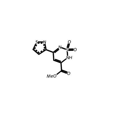 COC(=O)C1=CC(c2ccsn2)=NS(=O)(=O)N1